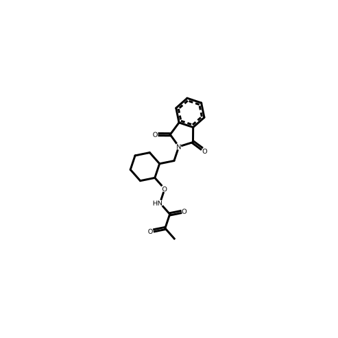 CC(=O)C(=O)NOC1CCCCC1CN1C(=O)c2ccccc2C1=O